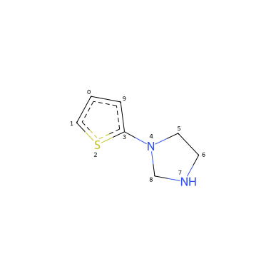 c1csc(N2CCNC2)c1